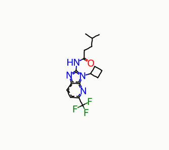 CC(C)CCC(=O)Nc1nc2ccc(C(F)(F)F)nc2n1C1CCC1